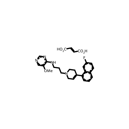 COc1cncnc1NCCCN1CC=C(c2cccc3ccc(F)cc23)CC1.O=C(O)C=CC(=O)O